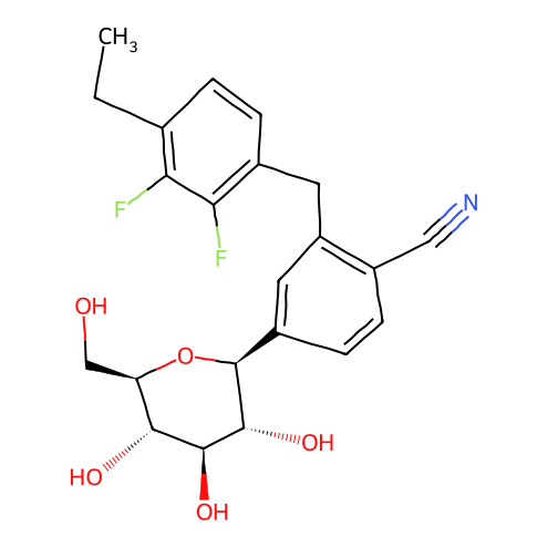 CCc1ccc(Cc2cc([C@@H]3O[C@H](CO)[C@@H](O)[C@H](O)[C@H]3O)ccc2C#N)c(F)c1F